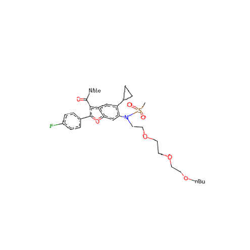 CCCCOCCOCCOCCN(c1cc2oc(-c3ccc(F)cc3)c(C(=O)NC)c2cc1C1CC1)S(C)(=O)=O